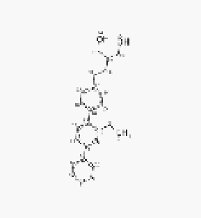 CCc1cc(-c2ccccc2)ccc1-c1ccc(CCC(CO)CO)cc1